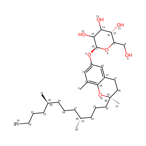 Cc1cc(O[C@@H]2OC(CO)[C@@H](O)C(O)C2O)cc2c1O[C@](C)(CCC[C@H](C)CCC[C@H](C)CCCC(C)C)CC2